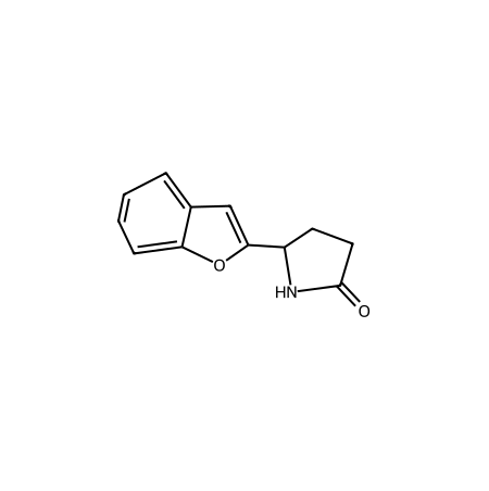 O=C1CCC(c2cc3ccccc3o2)N1